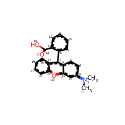 C[N+](C)=c1ccc2c(-c3ccccc3C(=O)O)c3ccccc3oc-2c1